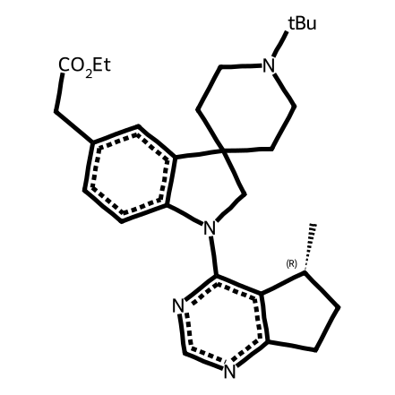 CCOC(=O)Cc1ccc2c(c1)C1(CCN(C(C)(C)C)CC1)CN2c1ncnc2c1[C@H](C)CC2